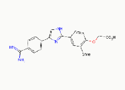 CSc1cc(-c2nc(-c3ccc(C(=N)N)cc3)c[nH]2)ccc1OCC(=O)O